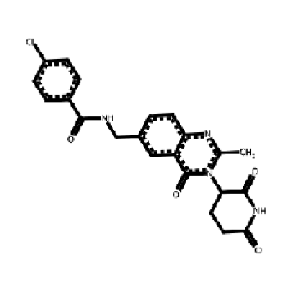 Cc1nc2ccc(CNC(=O)c3ccc(Cl)cc3)cc2c(=O)n1C1CCC(=O)NC1=O